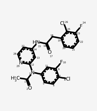 CC(=O)N(c1ccc(Cl)c(F)c1)c1cc(NC(=O)Cc2cccc(F)c2Cl)ccn1